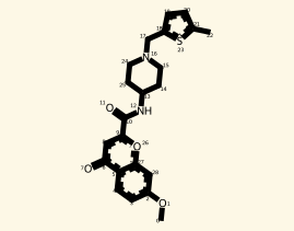 COc1ccc2c(=O)cc(C(=O)NC3CCN(Cc4ccc(C)s4)CC3)oc2c1